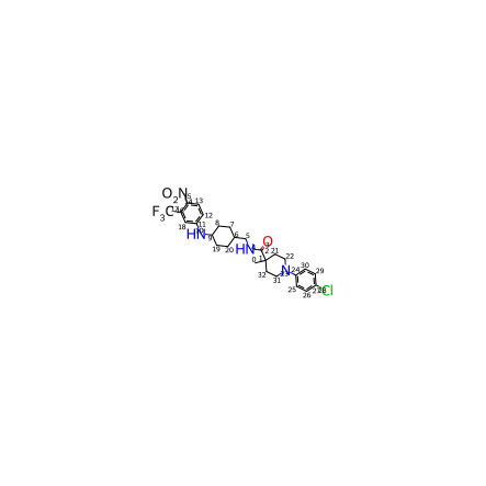 CC1(C(=O)NCC2CCC(Nc3ccc([N+](=O)[O-])c(C(F)(F)F)c3)CC2)CCN(c2ccc(Cl)cc2)CC1